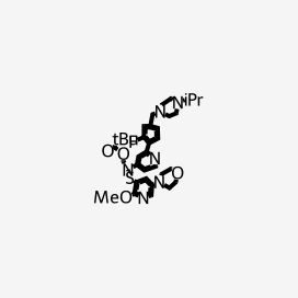 COc1ncc(N2CCOCC2)cc1SN(COC(=O)C(C)(C)C)c1ccnc(-c2ccc(CN3CCN(C(C)C)CC3)cc2F)c1